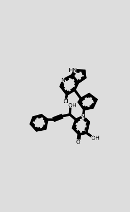 O=c1cc(C(O)C#Cc2ccccc2)n(-c2cccc(-c3c(Cl)cnc4[nH]ccc34)c2)cc1O